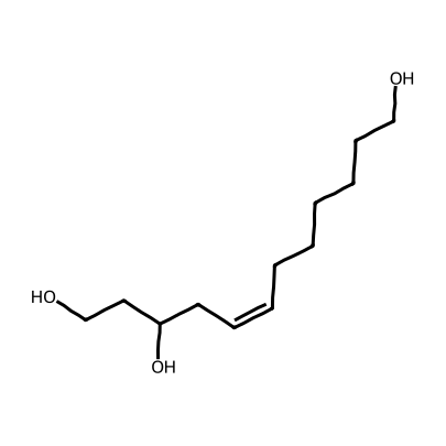 OCCCCCC/C=C\CC(O)CCO